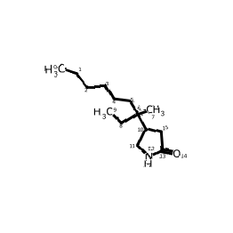 CCCCCCC(C)(CC)C1CNC(=O)C1